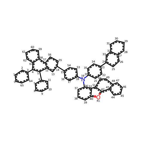 c1ccc(-c2c(-c3ccccc3)c3cc(-c4ccc(N(c5ccc(-c6ccc7ccccc7c6)cc5)c5cccc6oc7c8ccccc8ccc7c56)cc4)ccc3c3ccccc23)cc1